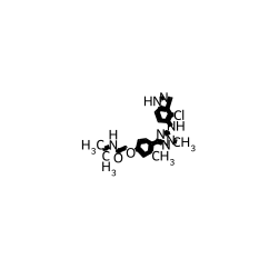 Cc1cc(OCC(=O)NC(C)C)ccc1-c1nc(Nc2ccc3[nH]ncc3c2Cl)n(C)n1